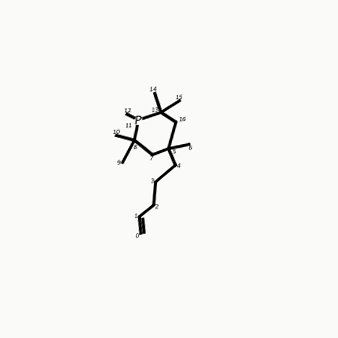 C=CCCCC1(C)CC(C)(C)P(C)C(C)(C)C1